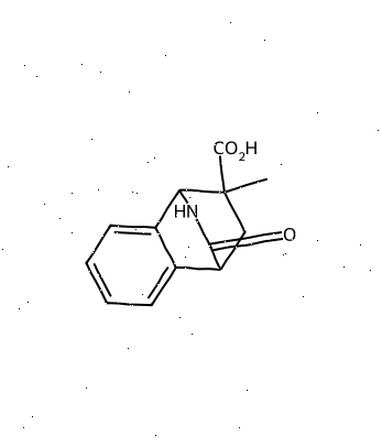 CC1(C(=O)O)CC2C(=O)NC1c1ccccc12